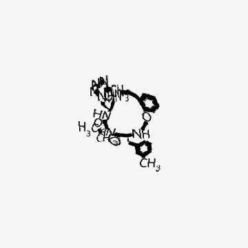 Cc1cccc(C[C@H]2NCCOc3ccccc3CCCNC(=O)[C@H](Cn3nnnc3C)NC(=O)[C@@H](C(C)C)NC2=O)c1